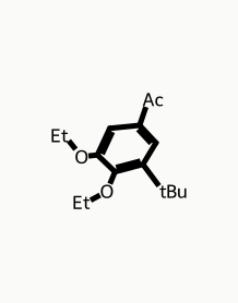 CCOc1cc(C(C)=O)cc(C(C)(C)C)c1OCC